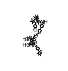 Cc1ncsc1-c1ccc(CNC(=O)[C@@H]2C[C@@H](O)CN2C(=O)C(NC(=O)COCCN2CCC(c3ccc([C@H](C)NC(=O)C[C@@H]4N=C(c5ccc(Cl)cc5)c5c(sc(C)c5C)-n5c(C)nnc54)cc3)CC2)C(C)(C)C)cc1